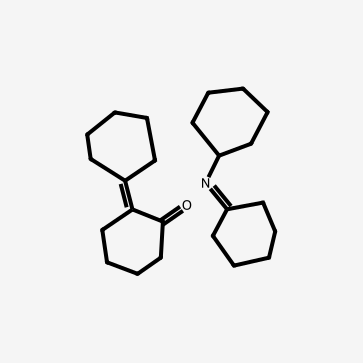 C1CCC(=NC2CCCCC2)CC1.O=C1CCCCC1=C1CCCCC1